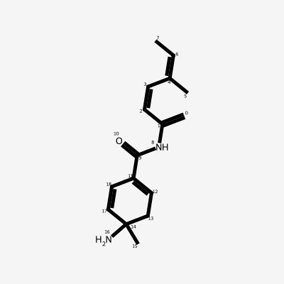 C=C(/C=C\C(C)=C/C)NC(=O)C1=CCC(C)(N)C=C1